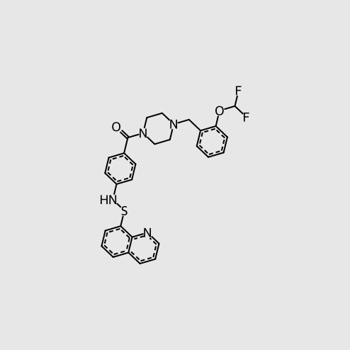 O=C(c1ccc(NSc2cccc3cccnc23)cc1)N1CCN(Cc2ccccc2OC(F)F)CC1